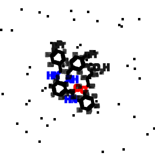 CCCc1ccc(CNc2cccc(C(=O)Nc3ccccc3OCCCC(=O)O)c2NCc2ccc(CCC)cc2)cc1